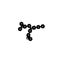 c1ccc(-c2ccc(-c3ccc(N(c4ccc(-c5ccc6oc7ccccc7c6c5)cc4)c4cccc(-c5ccc6c(c5)c5ccccc5n6-c5ccccc5)c4)cc3)cc2)cc1